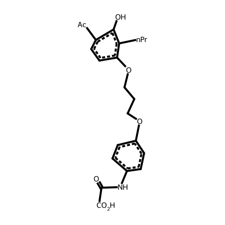 CCCc1c(OCCCOc2ccc(NC(=O)C(=O)O)cc2)ccc(C(C)=O)c1O